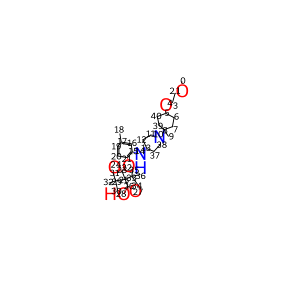 COCCOC1CCC(C)(N2CCC(Nc3cc(C)ccc3OC(=O)C(C(=O)O)(C(C)(C)C)C(C)(C)C)CC2)CC1